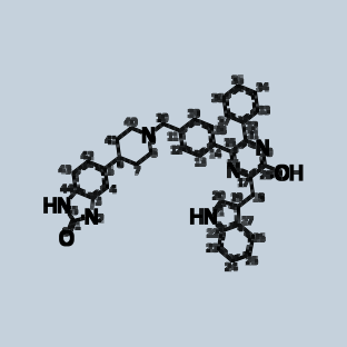 O=C1[N]c2cc(C3CCN(Cc4ccc(-c5nc(Cc6c[nH]c7ccccc67)c(O)nc5-c5ccccc5)cc4)CC3)ccc2N1